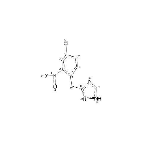 O=[N+]([O-])c1cc(Cl)ccc1Cc1nc[nH]n1